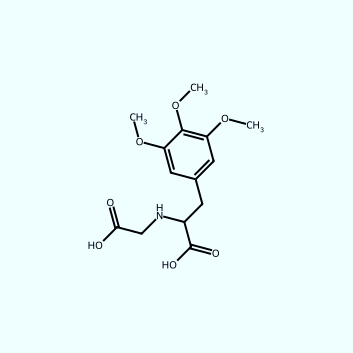 COc1cc(CC(NCC(=O)O)C(=O)O)cc(OC)c1OC